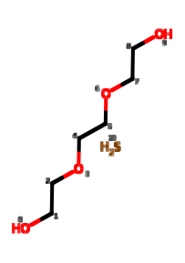 OCCOCCOCCO.S